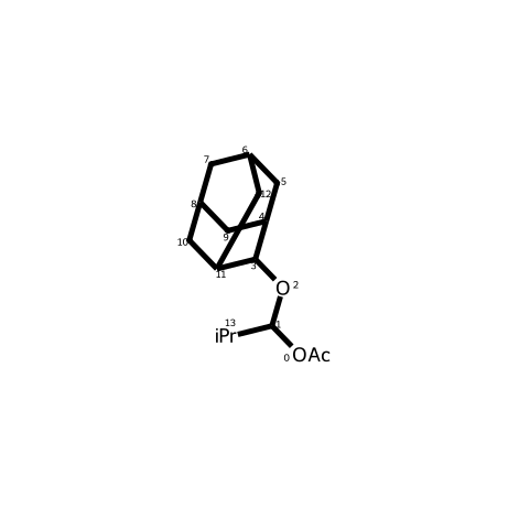 CC(=O)OC(OC1C2CC3CC(C2)CC1C3)C(C)C